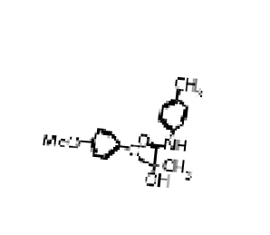 COc1ccc(OC[C@](C)(O)C(=O)Nc2ccc(C)cc2)cc1